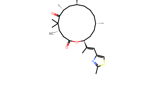 C/C(=C\c1csc(C)n1)[C@@H]1CC[C@@H](C)CCC[C@H](C)C[C@@H](C)C(=O)C(C)(C)[C@@H](C#N)CC(=O)O1